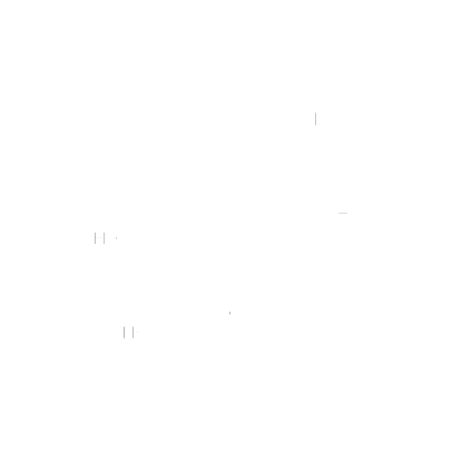 Cc1cc(C(C)C(=O)O)ccc1Cl